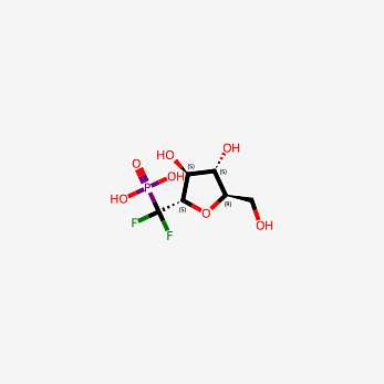 O=P(O)(O)C(F)(F)[C@H]1O[C@H](CO)[C@@H](O)[C@@H]1O